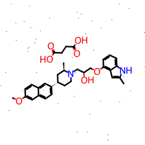 COc1ccc2cc([C@H]3CCN(C[C@H](O)COc4cccc5[nH]c(C)cc45)[C@H](C)C3)ccc2c1.O=C(O)CCC(=O)O